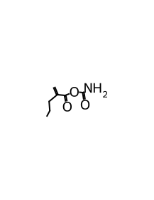 C=C(CCC)C(=O)OC(N)=O